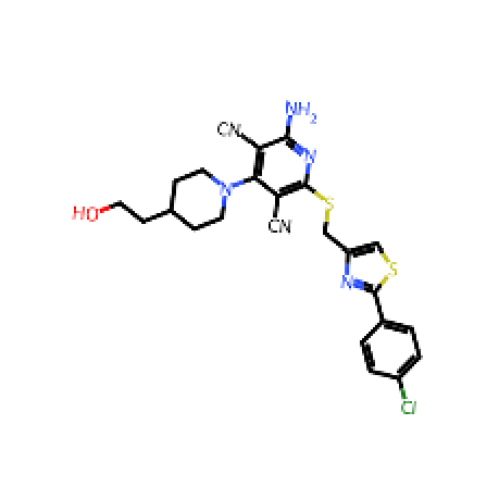 [C-]#[N+]c1c(N)nc(SCc2csc(-c3ccc(Cl)cc3)n2)c(C#N)c1N1CCC(CCO)CC1